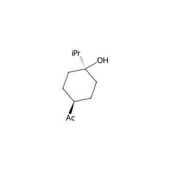 CC(=O)[C@H]1CC[C@](O)(C(C)C)CC1